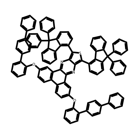 c1ccc(-c2ccc(-c3ccccc3Oc3ccc4c5ccc(Oc6ccccc6-c6ccc(-c7ccccc7)cc6)cc5c5nc6c(-c7cccc8c7-c7ccccc7C8(c7ccccc7)c7ccccc7)sc(-c7cccc8c7-c7ccccc7C8(c7ccccc7)c7ccccc7)c6nc5c4c3)cc2)cc1